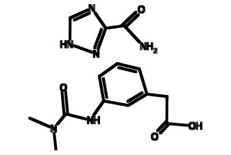 CN(C)C(=O)Nc1cccc(CC(=O)O)c1.NC(=O)c1nc[nH]n1